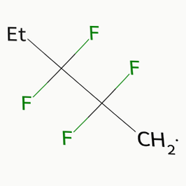 [CH2]C(F)(F)C(F)(F)CC